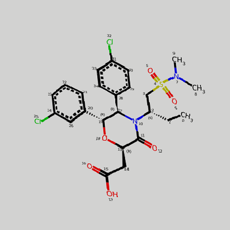 CC[C@@H](CS(=O)(=O)N(C)C)N1C(=O)[C@@H](CC(=O)O)O[C@H](c2cccc(Cl)c2)[C@H]1c1ccc(Cl)cc1